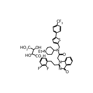 CCN1CCC(N(Cc2ccc(-c3ccc(C(F)(F)F)cc3)s2)C(=O)Cn2c(CCc3cccc(F)c3F)nc(=O)c3ccccc32)CC1.O=C(O)C(O)C(O)C(=O)O